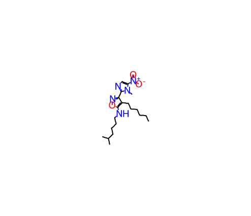 CCCCCCc1c(-c2ncc([N+](=O)[O-])n2C)noc1NCCCCC(C)C